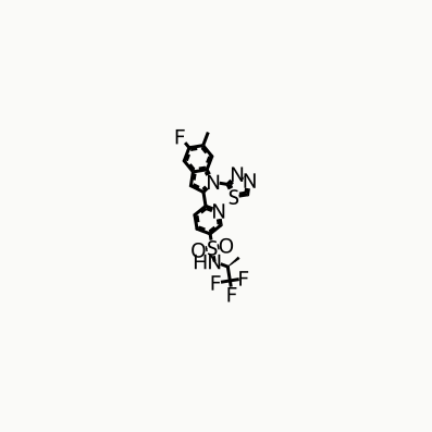 Cc1cc2c(cc1F)cc(-c1ccc(S(=O)(=O)N[C@@H](C)C(F)(F)F)cn1)n2-c1nncs1